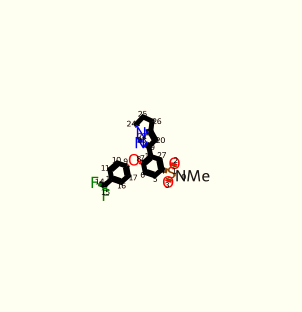 CNS(=O)(=O)c1ccc(Oc2ccc(C(F)F)cc2)c(-c2cc3n(n2)CCC3)c1